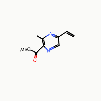 C=Cc1cnc(C(=O)OC)c(C)n1